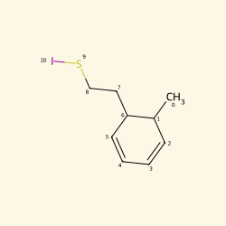 CC1C=CC=CC1CCSI